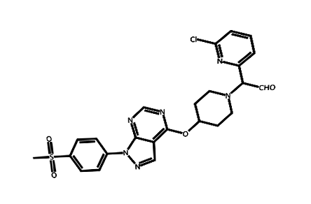 CS(=O)(=O)c1ccc(-n2ncc3c(OC4CCN(C(C=O)c5cccc(Cl)n5)CC4)ncnc32)cc1